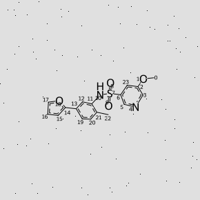 COc1cncc(S(=O)(=O)Nc2cc(-c3ccco3)ccc2C)c1